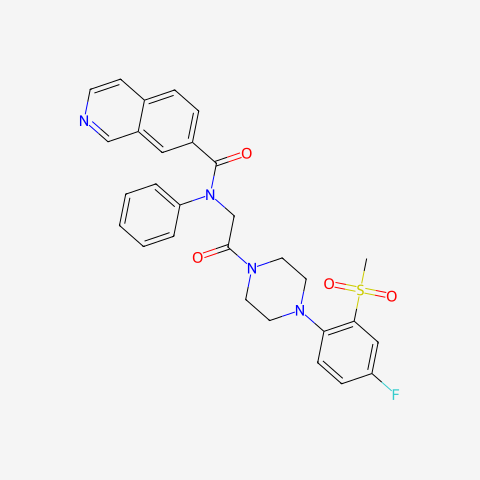 CS(=O)(=O)c1cc(F)ccc1N1CCN(C(=O)CN(C(=O)c2ccc3ccncc3c2)c2ccccc2)CC1